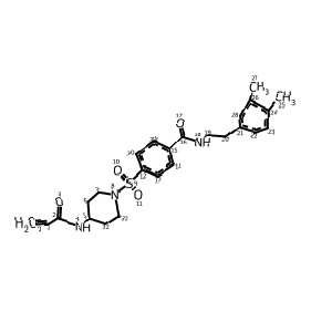 C=CC(=O)NC1CCN(S(=O)(=O)c2ccc(C(=O)NCCc3ccc(C)c(C)c3)cc2)CC1